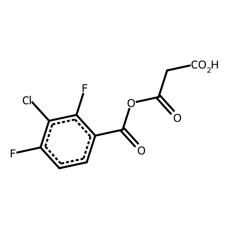 O=C(O)CC(=O)OC(=O)c1ccc(F)c(Cl)c1F